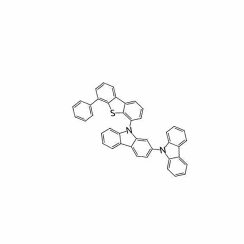 c1ccc(-c2cccc3c2sc2c(-n4c5ccccc5c5ccc(-n6c7ccccc7c7ccccc76)cc54)cccc23)cc1